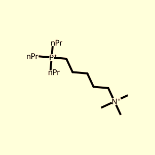 CCC[P+](CCC)(CCC)CCCCC[N+](C)(C)C